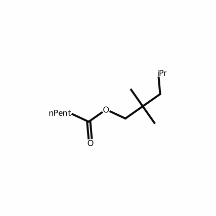 CCCCCC(=O)OCC(C)(C)CC(C)C